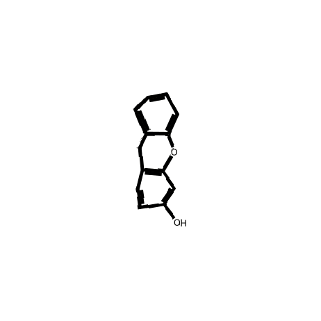 Oc1ccc2c(c1)Oc1ccccc1[CH]2